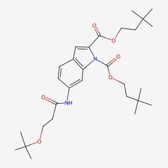 CC(C)(C)CCOC(=O)c1cc2ccc(NC(=O)CCOC(C)(C)C)cc2n1C(=O)OCCC(C)(C)C